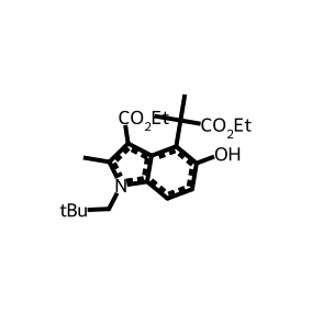 CCOC(=O)c1c(C)n(CC(C)(C)C)c2ccc(O)c(C(C)(C)C(=O)OCC)c12